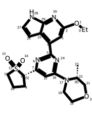 CCOc1cc(-c2nc([C@@H]3CCCS3(=O)=O)cc(N3CCOC[C@H]3C)n2)c2cc[nH]c2n1